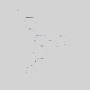 Cc1ccc(-c2cc3c(=O)n([C@H]4COC[C@@H]4O)cnc3c(-c3cnn(C)c3)n2)cn1